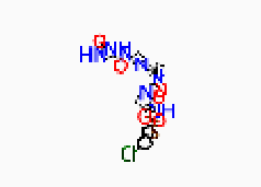 CN(C(=O)C1CNC(=O)N1)C1CCN(C[C@@H]2CCCN2C(=O)CN2CCC[C@H](NS(=O)(=O)c3cc4cc(Cl)ccc4s3)C2=O)C1